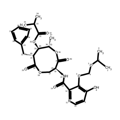 CC(C)OCOc1c(O)ccnc1C(=O)N[C@H]1COC(=O)[C@H](Cc2ccccc2)[C@@H](OC(=O)C(C)C)[C@H](C)OC1=O